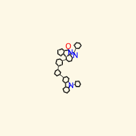 O=c1c2ccccc2c2c(-c3cccc(-c4cccc(-c5ccc6c(c5)c5ccccc5n6-c5ccccc5)c4)c3)ccc3nc(-c4ccccc4)n1c32